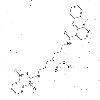 CC(C)(C)OC(=O)N(CCCNC(=O)c1cccc2cc3ccccc3nc12)CCCNc1n[n+]([O-])c2ccccc2[n+]1[O-]